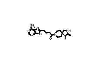 C=C1NCC2(CCN(C(=O)CCCc3nc4c(N)ncnc4[nH]3)CC2)N1